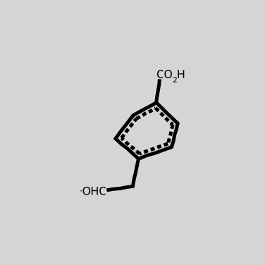 O=[C]Cc1ccc(C(=O)O)cc1